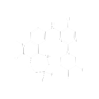 Cn1c(=O)c2c(c3cc(Nc4nc(N5CCC(F)C(F)C5)ncc4Cl)ccc31)NCC(F)(F)CO2